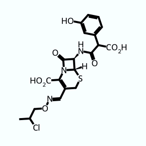 CC(Cl)CON=CC1=C(C(=O)O)N2C(=O)[C@@H](NC(=O)C(C(=O)O)c3cccc(O)c3)[C@@H]2SC1